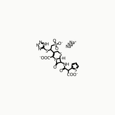 O=C([O-])C1=C(C(CS(=O)(=O)[O-])Sc2nnn[nH]2)CS[C@H]2C(NC(=O)C(C(=O)[O-])c3cccs3)C(=O)N12.[Na+].[Na+].[Na+]